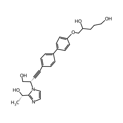 C[C@H](O)c1nccn1[C@@H](C#Cc1ccc(-c2ccc(OCC(O)CCCO)cc2)cc1)CO